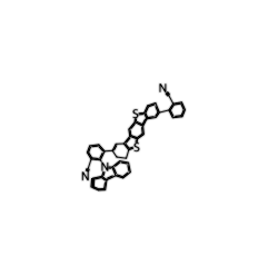 N#Cc1ccccc1-c1ccc2sc3cc4c5c(sc4cc3c2c1)CCC(c1cccc(C#N)c1-n1c2c#cccc2c2ccccc21)=C5